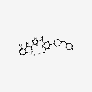 Cc1cccc(Cl)c1NC(=O)c1cnc(Nc2nc(CC(C)C)nc(N3CCN(Cc4ccncc4)CC3)n2)s1